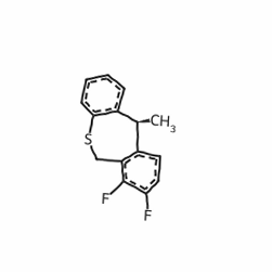 C[C@@H]1c2ccccc2SCc2c1ccc(F)c2F